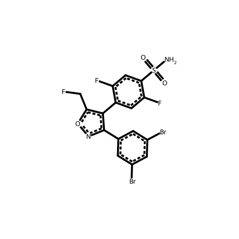 NS(=O)(=O)c1cc(F)c(-c2c(-c3cc(Br)cc(Br)c3)noc2CF)cc1F